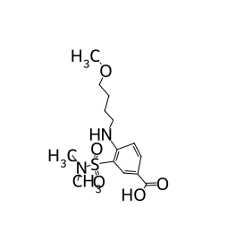 COCCCCNc1ccc(C(=O)O)cc1S(=O)(=O)N(C)C